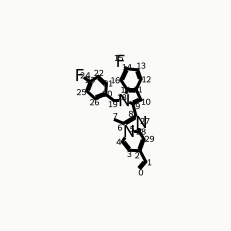 C=Cc1ccn2c(C)c(-c3cc4ccc(F)cc4n3Cc3ccc(F)cc3)nc2c1